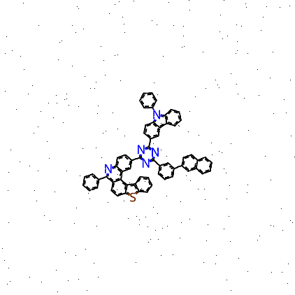 c1ccc(-c2nc3ccc(-c4nc(-c5cccc(-c6ccc7ccccc7c6)c5)nc(-c5ccc6c(c5)c5ccccc5n6-c5ccccc5)n4)cc3c3c2ccc2sc4ccccc4c23)cc1